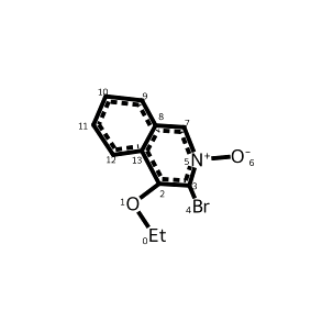 CCOc1c(Br)[n+]([O-])cc2ccccc12